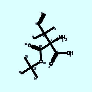 C=CC(C)(C)[C@](N)(C(=O)O)C(=O)OC(C)(C)C